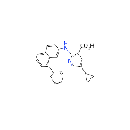 O=C(O)c1cc(C2CC2)cnc1Nc1ccc2cccc(-c3ccccc3)c2c1